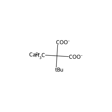 CC(C)(C)C(C)(C(=O)[O-])C(=O)[O-].[Ca+2]